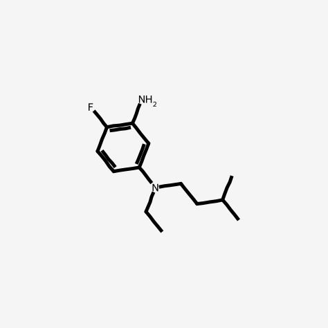 CCN(CCC(C)C)c1ccc(F)c(N)c1